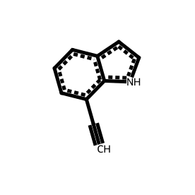 C#Cc1cccc2cc[nH]c12